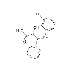 CC(=O)C(O)C(Nc1cccc(Cl)c1)c1ccccc1